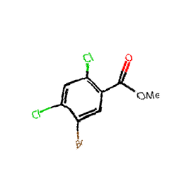 COC(=O)c1cc(Br)c(Cl)cc1Cl